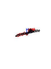 C#CCOCCOCCOCCOCCC(=O)NCCCN(CC(O)CNC)C(CO)CO